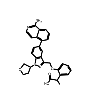 CC(C(=O)O)c1ccccc1OCc1nn(C2CCOC2)c2ccc(-c3cccc4c(N)nccc34)cc12